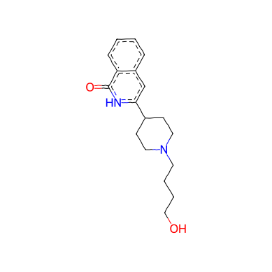 O=c1[nH]c(C2CCN(CCCCO)CC2)cc2ccccc12